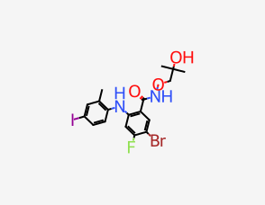 Cc1cc(I)ccc1Nc1cc(F)c(Br)cc1C(=O)NOCC(C)(C)O